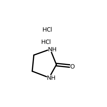 Cl.Cl.O=C1NCCN1